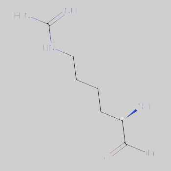 CC(C)C(=O)[C@H](N)CCCCNC(=N)N